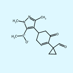 Cc1nn(C)c([S+](C)[O-])c1C1C[C]=C(C2(C=O)CC2)C(=O)C1